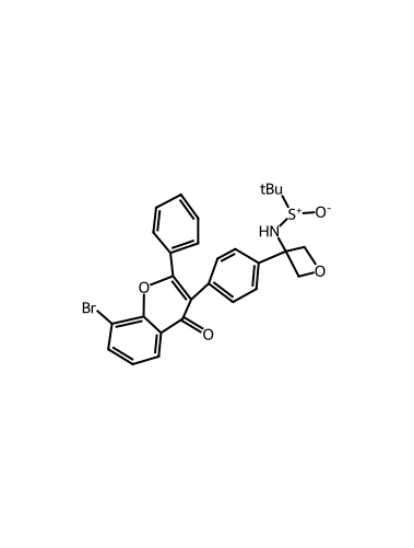 CC(C)(C)[S+]([O-])NC1(c2ccc(-c3c(-c4ccccc4)oc4c(Br)cccc4c3=O)cc2)COC1